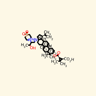 C=C(C)[C@@H]1CC[C@]2(NCC(C(C)O)N3CCS(=O)(=O)CC3)CC[C@]3(C)[C@H](CC[C@@H]4[C@@]5(C)CC[C@H](OC(=O)[C@H]6[C@@H](C(=O)O)C6(C)C)C(C)(C)[C@@H]5CC[C@]43C)[C@@H]12